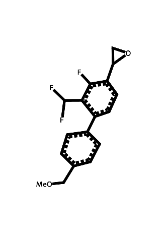 COCc1ccc(-c2ccc(C3CO3)c(F)c2C(F)F)cc1